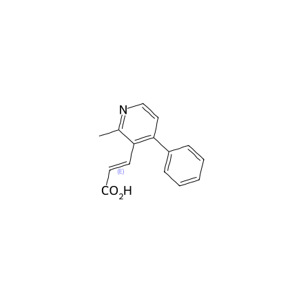 Cc1nccc(-c2ccccc2)c1/C=C/C(=O)O